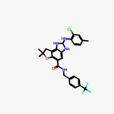 Cc1ccc(NC2Nc3cc(C(=O)NCc4ccc(C(F)(F)F)cc4)c4c(c3N2)CC(C)(C)O4)c(Cl)c1